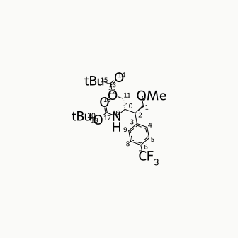 COC[C@@H](c1ccc(C(F)(F)F)cc1)[C@@H](COC(=O)C(C)(C)C)NC(=O)OC(C)(C)C